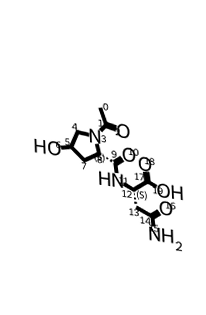 CC(=O)N1CC(O)C[C@H]1C(=O)N[C@@H](CC(N)=O)C(=O)O